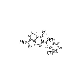 C[C@H]1c2cccc(C(=O)O)c2CCN1C(=O)Cc1c(Cl)cccc1Cl